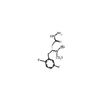 CC(C)(C)N(C(=O)O)[C@@H](CC(=O)NN)Cc1cc(F)ccc1F